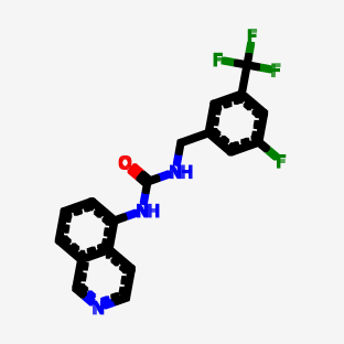 O=C(NCc1cc(F)cc(C(F)(F)F)c1)Nc1cccc2cnccc12